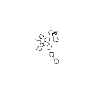 C/[CH]=[Zr](\[C]1=CC=CC1)[CH]1C2C=CC=CC2C2C3C=CC=CC3C3C=CC=CC3C21.Cl.Cl.c1ccc(-c2ccccc2)cc1.c1ccc(-c2ccccc2)cc1